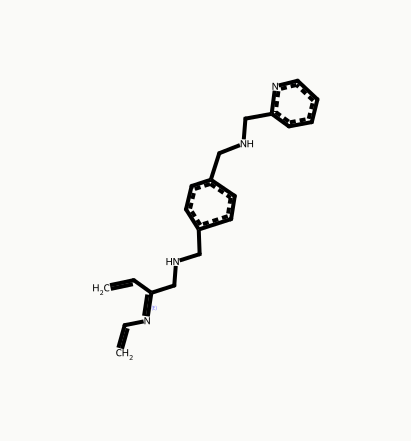 C=C/N=C(\C=C)CNCc1ccc(CNCc2ccccn2)cc1